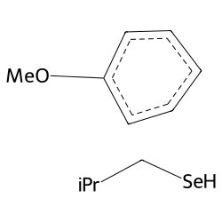 CC(C)C[SeH].COc1ccccc1